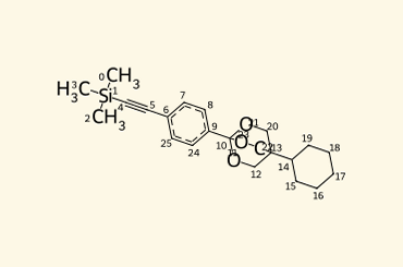 C[Si](C)(C)C#Cc1ccc(C23OCC(C4CCCCC4)(CO2)CO3)cc1